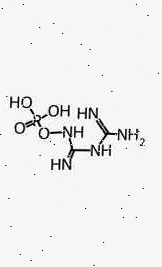 N=C(N)NC(=N)NOP(=O)(O)O